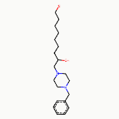 [O]CCCCCCCC(O)CN1CCN(Cc2ccccc2)CC1